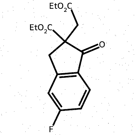 CCOC(=O)CC1(C(=O)OCC)Cc2cc(F)ccc2C1=O